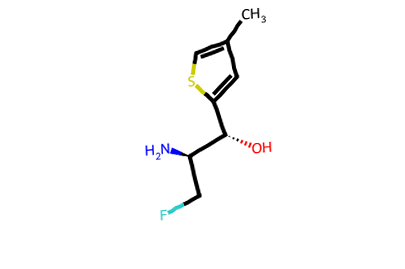 Cc1csc([C@H](O)[C@H](N)CF)c1